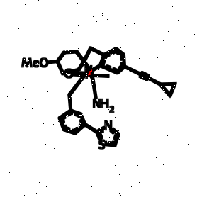 COC1CCC2(CC1)Cc1ccc(C#CC3CC3)cc1C21N=C(N)N(Cc2cccc(-c3nccs3)c2)C1=O